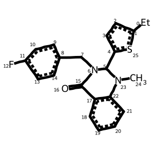 CCc1ccc(C2N(Cc3ccc(F)cc3)C(=O)c3ccccc3N2C)s1